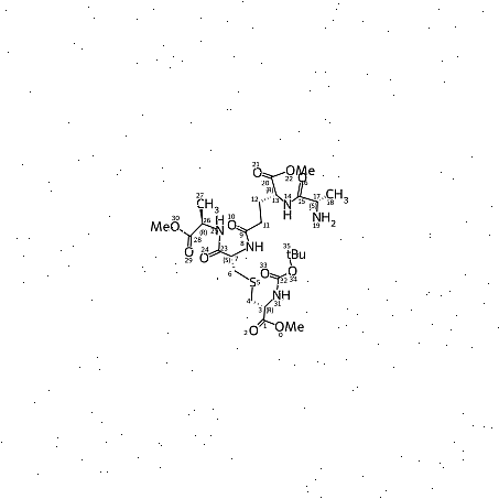 COC(=O)[C@H](CSC[C@@H](NC(=O)CC[C@@H](NC(=O)[C@H](C)N)C(=O)OC)C(=O)N[C@H](C)C(=O)OC)NC(=O)OC(C)(C)C